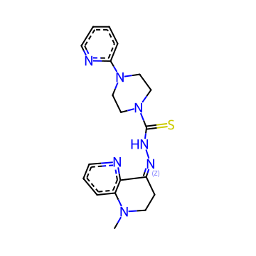 CN1CC/C(=N/NC(=S)N2CCN(c3ccccn3)CC2)c2ncccc21